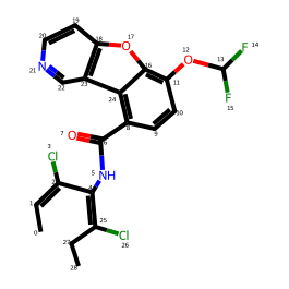 C/C=C(Cl)\C(NC(=O)c1ccc(OC(F)F)c2oc3ccncc3c12)=C(\Cl)CC